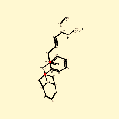 CC(C)C[C@@H](C=CCC(=O)NC1CC2CCCC(C1)N2Cc1ccccc1)NC(=O)O